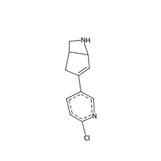 Clc1ccc(C2=CC3NCC3C2)cn1